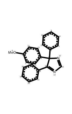 COc1ccc(C2(c3ccccc3)N=CN=C2c2ccccc2)cc1